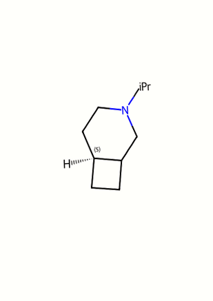 CC(C)N1CC[C@@H]2CCC2C1